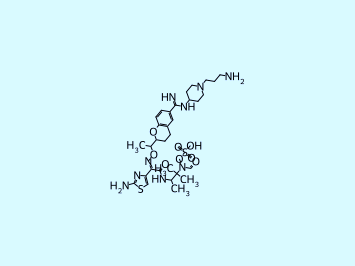 CC(O/N=C(\C(=O)NC(C)C(C)(C)N(C=O)OS(=O)(=O)O)c1csc(N)n1)C1CCc2cc(C(=N)NC3CCN(CCCN)CC3)ccc2O1